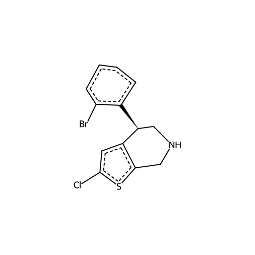 Clc1cc2c(s1)CNC[C@@H]2c1ccccc1Br